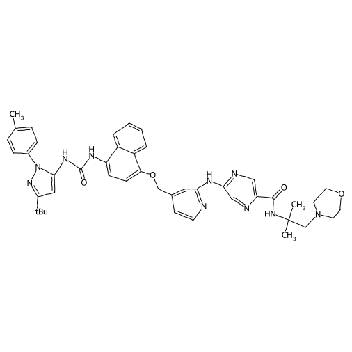 Cc1ccc(-n2nc(C(C)(C)C)cc2NC(=O)Nc2ccc(OCc3ccnc(Nc4cnc(C(=O)NC(C)(C)CN5CCOCC5)cn4)c3)c3ccccc23)cc1